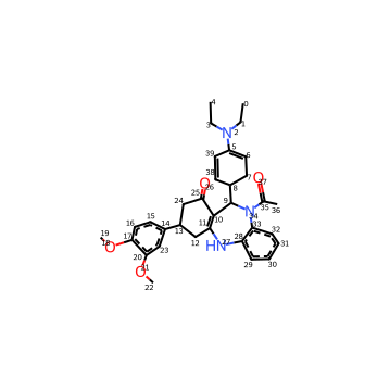 CCN(CC)C1=CCC(C2C3=C(CC(c4ccc(OC)c(OC)c4)CC3=O)Nc3ccccc3N2C(C)=O)C=C1